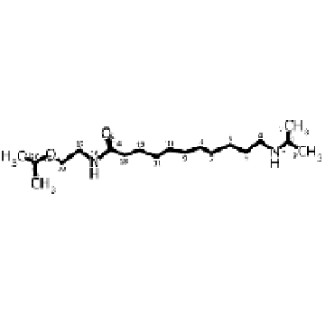 CC(C)NCCCCCCCCCCC(=O)NCCOC(C)C